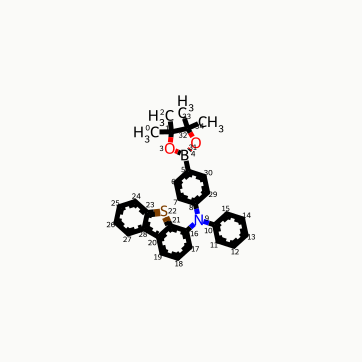 CC1(C)OB(c2ccc(N(c3ccccc3)c3cccc4c3sc3ccccc34)cc2)OC1(C)C